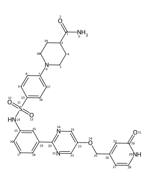 NC(=O)C1CCN(c2ccc(S(=O)(=O)Nc3cccc(-c4ncc(OCc5cc[nH]c(=O)c5)cn4)c3)cc2)CC1